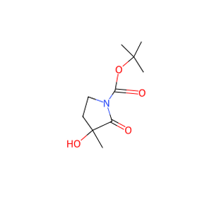 CC(C)(C)OC(=O)N1CCC(C)(O)C1=O